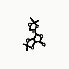 CC1(C)OC2C(=O)OC([C@H]3COC(C)(C)O3)C2O1